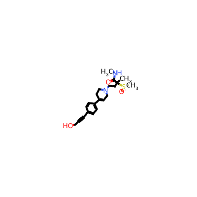 CNC(=O)C(C)(CCN1CC=C(c2ccc(C#CCO)cc2)CC1)[S+](C)[O-]